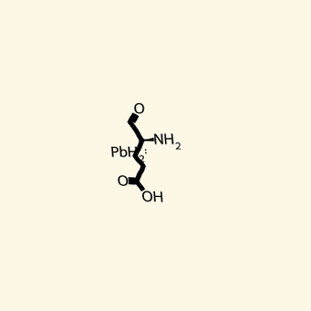 N[C@H](C=O)CCC(=O)O.[PbH2]